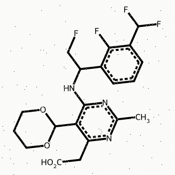 Cc1nc(CC(=O)O)c(C2OCCCO2)c(NC(CF)c2cccc(C(F)F)c2F)n1